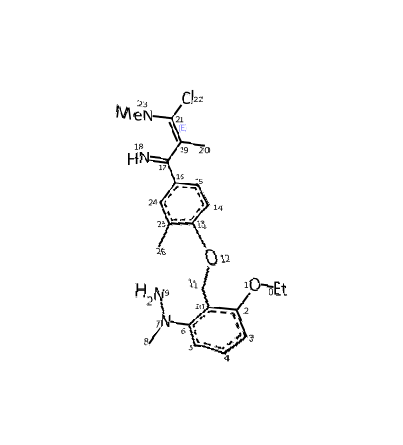 CCOc1cccc(N(C)N)c1COc1ccc(C(=N)/C(C)=C(/Cl)NC)cc1C